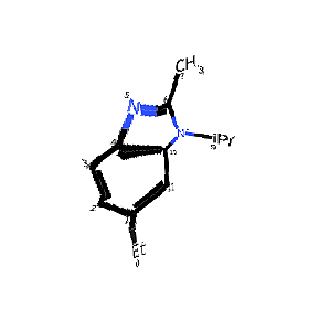 CCc1ccc2nc(C)n(C(C)C)c2c1